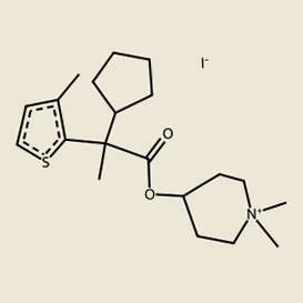 Cc1ccsc1C(C)(C(=O)OC1CC[N+](C)(C)CC1)C1CCCC1.[I-]